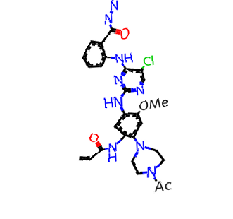 C=CC(=O)Nc1cc(Nc2ncc(Cl)c(Nc3ccccc3C(=O)N=NC)n2)c(OC)cc1N1CCN(C(C)=O)CC1